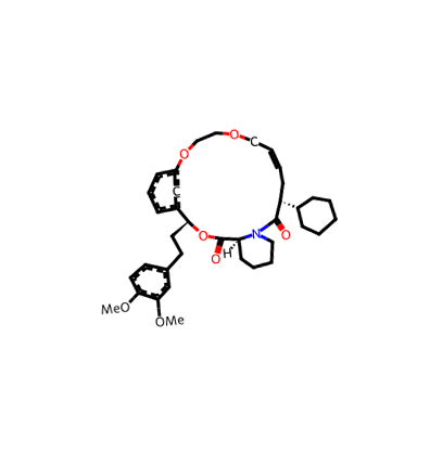 COc1ccc(CC[C@@H]2OC(=O)[C@@H]3CCCCN3C(=O)[C@@H](C3CCCCC3)C/C=C\COCCOc3cccc2c3)cc1OC